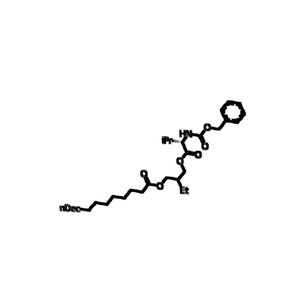 [CH2]CC(COC(=O)CCCCCCCCCCCCCCCCC)COC(=O)[C@@H](NC(=O)OCc1ccccc1)C(C)C